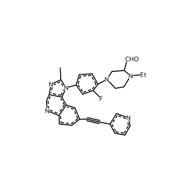 CCN1CCN(c2ccc(-n3c(C)nc4cnc5ccc(C#Cc6cccnc6)cc5c43)cc2F)CC1C=O